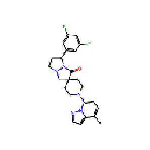 Cc1ccc(N2CCC3(CC2)CN2CC[C@@H](c4cc(F)cc(F)c4)N2C3=O)n2nccc12